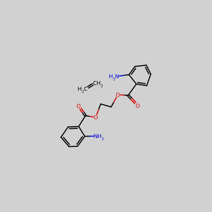 C=C.Nc1ccccc1C(=O)OCCOC(=O)c1ccccc1N